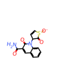 NC(=O)c1cc2ccccc2n(C2C=C[S+]([O-])C2=O)c1=O